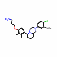 COc1cc(N2CCN3C(CCCC3c3ccc(OCCCN)c(C)c3C)C2)ccc1Cl